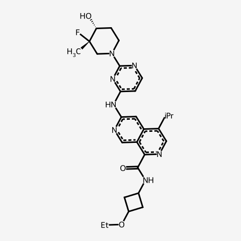 CCOC1CC(NC(=O)c2ncc(C(C)C)c3cc(Nc4ccnc(N5CC[C@@H](O)[C@@](C)(F)C5)n4)ncc23)C1